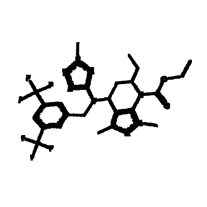 CCOC(=O)N1c2c(c(C)nn2C)C(N(Cc2cc(C(F)(F)F)cc(C(F)(F)F)c2)c2nnn(C)n2)CC1CC